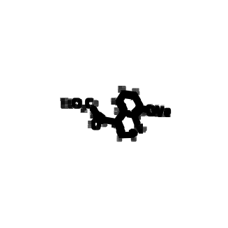 CCOC(=O)C1OC1c1ccnc2c(OC)cccc12